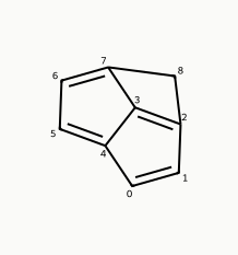 C1=CC2=C3C1=CC=C3C2